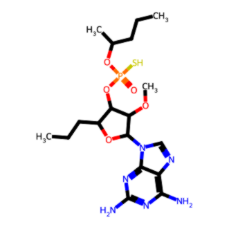 CCCC(C)OP(=O)(S)OC1C(CCC)OC(n2cnc3c(N)nc(N)nc32)C1OC